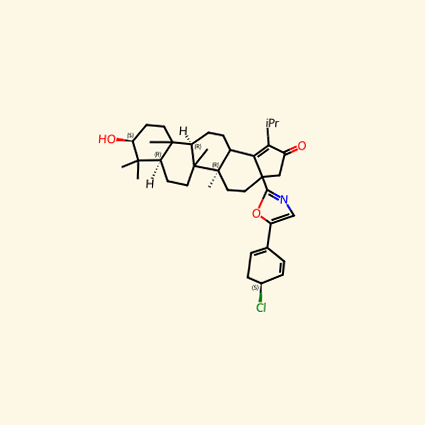 CC(C)C1=C2C3CC[C@@H]4C5(C)CC[C@H](O)C(C)(C)[C@@H]5CCC4(C)[C@]3(C)CCC2(c2ncc(C3=CC[C@H](Cl)C=C3)o2)CC1=O